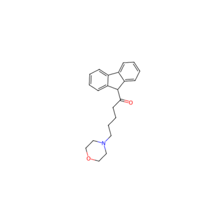 O=C(CCCCN1CCOCC1)C1c2ccccc2-c2ccccc21